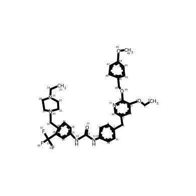 CCOc1cc(Cc2ccc(NC(=O)Nc3ccc(CN4CCN(CC)CC4)c(C(F)(F)F)c3)cc2)cnc1OCc1ccc(OC)cc1